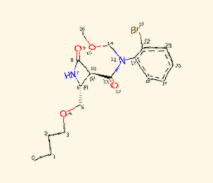 CCCCOC[C@@H]1NC(=O)[C@H]1C(=O)N(COC)c1ccccc1Br